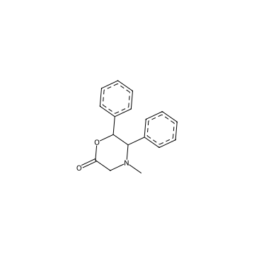 CN1CC(=O)OC(c2ccccc2)C1c1ccccc1